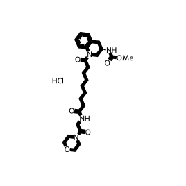 COC(=O)N[C@H]1Cc2ccccc2N(C(=O)CCCCCCCC(=O)NCC(=O)N2CCOCC2)C1.Cl